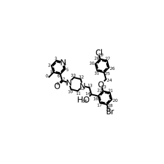 Cc1ccncc1C(=O)N1CCN(CC(O)c2cc(Br)ccc2OCc2ccc(Cl)cc2)CC1